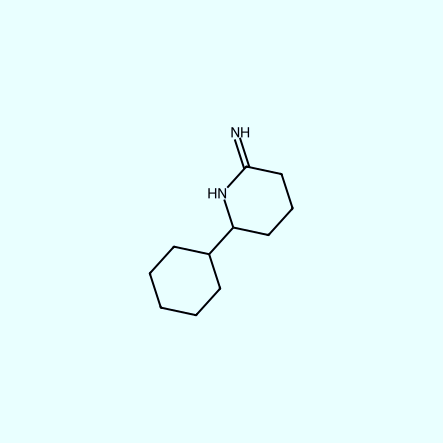 N=C1CCCC(C2CCCCC2)N1